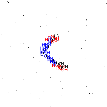 N#CB(O)O.N#CB(O)O.N#CB(O)O.N#CB(O)O.c1c[nH]cn1.c1c[nH]cn1.c1c[nH]cn1.c1c[nH]cn1.c1c[nH]cn1.c1c[nH]cn1.c1c[nH]cn1.c1c[nH]cn1